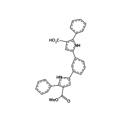 COC(=O)c1cc(-c2cccc(-c3cc(C(=O)O)c(-c4ccccc4)[nH]3)c2)[nH]c1-c1ccccc1